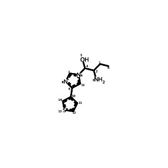 CCC(N)C(O)n1cnc(-c2ccsc2)c1